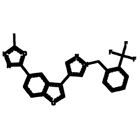 Cc1nnc(-c2ccc3occ(-c4cnn(Cc5ccccc5C(F)(F)F)c4)c3c2)o1